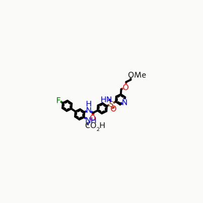 COCCOCc1cncc(S(=N)(=O)c2ccc(C(=O)Nc3cc(-c4ccc(F)cc4)ccc3NC(=O)O)cc2)c1